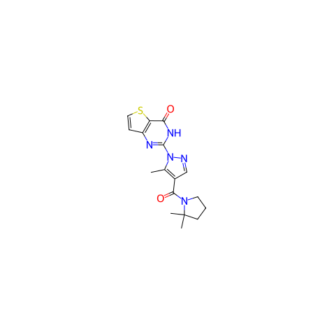 Cc1c(C(=O)N2CCCC2(C)C)cnn1-c1nc2ccsc2c(=O)[nH]1